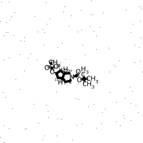 CC(C)(C)OC(=O)N1CC[C@H]2C[C@@H](OS(C)(=O)=O)C[C@H]2C1